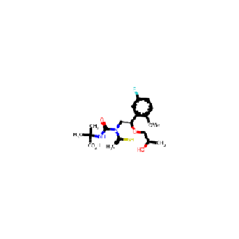 C=C(S)N(C[C@H](OCC(C)O)c1cc(F)ccc1OC)C(=O)NC(C)(C)C(=O)O